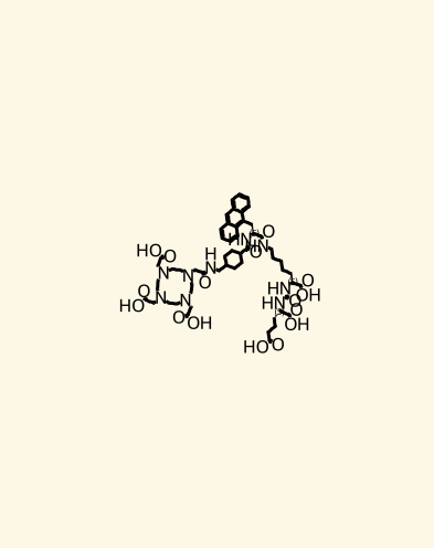 O=C(O)CCC[C@H](NC(=O)N[C@@H](CCCCCNC(=O)[C@H](Cc1c2ccccc2cc2ccccc12)NC(=O)C1CCC(CNC(=O)CN2CCN(CC(=O)O)CCN(CC(=O)O)CCN(CC(=O)O)CC2)CC1)C(=O)O)C(=O)O